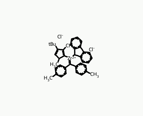 CC1=[C]([Zr+2](=[C](c2ccc(C)cc2)c2ccc(C)cc2)[CH]2c3ccccc3-c3ccccc32)C(C)C=C1C(C)(C)C.[Cl-].[Cl-]